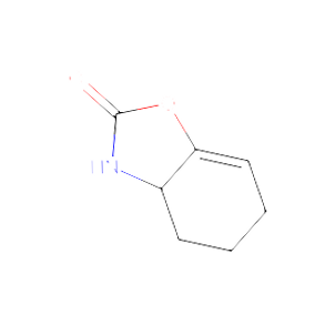 O=C1NC2CCCC=C2O1